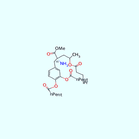 CCCCCC(=O)Oc1ccc(C[C@](N)(CC(C)OC(=O)CCC(C)C)C(=O)OC)cc1OC(=O)CCCCC